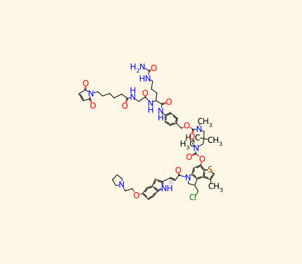 Cc1csc2c(OC(=O)N(C)CC(C)(C)CN(C)C(=O)OCc3ccc(NC(=O)C(CCCNC(N)=O)NC(=O)CNC(=O)CCCCCN4C(=O)C=CC4=O)cc3)cc3c(c12)C(CCl)CN3C(=O)/C=C/c1cc2cc(OCCN3CCCC3)ccc2[nH]1